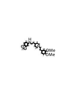 COc1ccc(CCN2CCC(CCNc3ccc4c(c3)OCO4)CC2)cc1OC